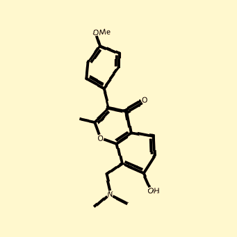 COc1ccc(-c2c(C)oc3c(CN(C)C)c(O)ccc3c2=O)cc1